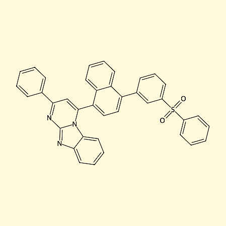 O=S(=O)(c1ccccc1)c1cccc(-c2ccc(-c3cc(-c4ccccc4)nc4nc5ccccc5n34)c3ccccc23)c1